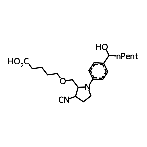 [C-]#[N+]C1CCN(c2ccc(C(O)CCCCC)cc2)C1COCCCCC(=O)O